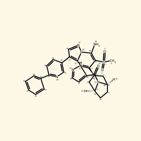 CS(=O)(=O)c1c([C@H]2C[C@H]3CC[C@@H](C2)N3C(=O)c2ccn[nH]2)nc2c(-c3ccc(-c4ccccc4)nc3)cnn2c1N